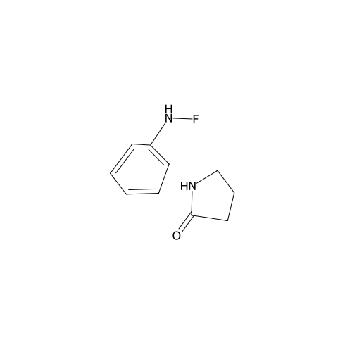 FNc1ccccc1.O=C1CCCN1